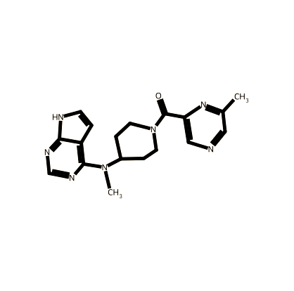 Cc1cncc(C(=O)N2CCC(N(C)c3ncnc4[nH]ccc34)CC2)n1